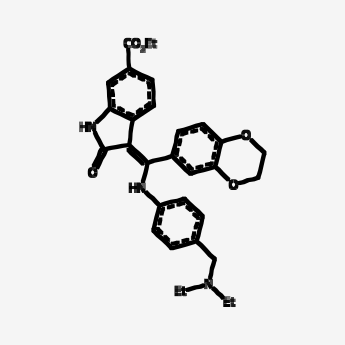 CCOC(=O)c1ccc2c(c1)NC(=O)/C2=C(\Nc1ccc(CN(CC)CC)cc1)c1ccc2c(c1)OCCO2